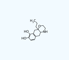 CCCC12Cc3c(ccc(O)c3O)CC1NCCO2